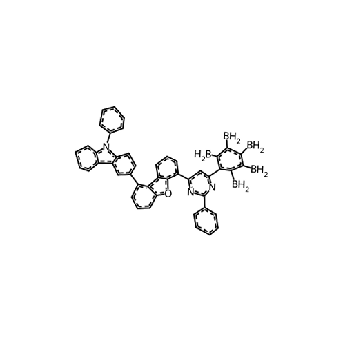 Bc1c(B)c(B)c(-c2cc(-c3cccc4c3oc3cccc(-c5ccc6c(c5)c5ccccc5n6-c5ccccc5)c34)nc(-c3ccccc3)n2)c(B)c1B